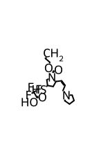 C=CCOC(=O)N1CC(S)CC1/C=C\CN1CCCC1.O=C(O)C(F)(F)F